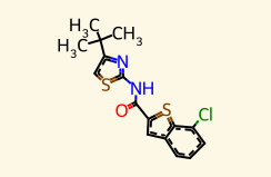 CC(C)(C)c1csc(NC(=O)c2cc3cccc(Cl)c3s2)n1